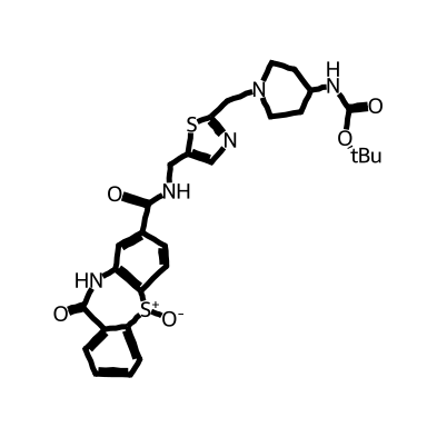 CC(C)(C)OC(=O)NC1CCN(Cc2ncc(CNC(=O)c3ccc4c(c3)NC(=O)c3ccccc3[S+]4[O-])s2)CC1